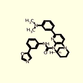 CN(C)c1cccc(-c2ccc3c(n2)N(C(=O)Nc2cccc(-c4cnco4)c2)[C@@H]2CCCN3C2)c1